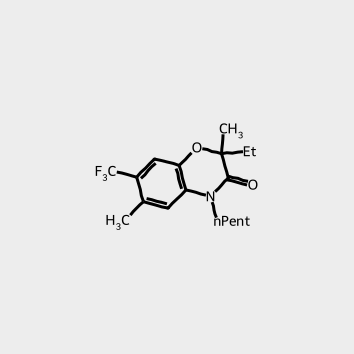 CCCCCN1C(=O)C(C)(CC)Oc2cc(C(F)(F)F)c(C)cc21